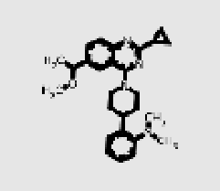 [CH2]C(OC)c1ccc2nc(C3CC3)nc(N3CCC(c4ccccc4N(C)C)CC3)c2c1